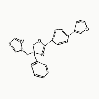 c1ccc(C2(Cn3cncn3)COC(c3ccc(-c4ccoc4)cc3)=N2)cc1